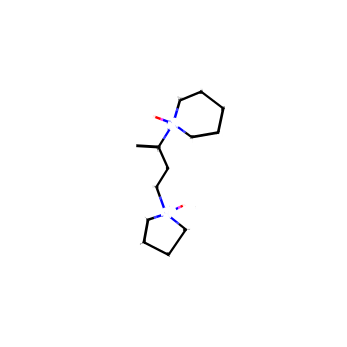 CC(CC[N+]1([O-])CCCC1)[N+]1([O-])CCCCC1